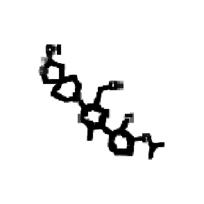 Cc1nc(N2CCC3(CC2)CO[C@@H](O)C3)c(CO)nc1-c1cccc(OC(C)C)c1Cl